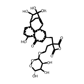 O=C1OC(=O)C1(CCOC1OO[C@@H](O)C(O)C1O)Cc1cc2c3c(ccc(O)c3c(=O)c1)C1CC(=C2)C(O)(O)C1O